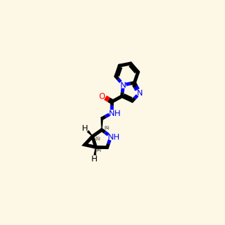 O=C(NC[C@H]1NC[C@@H]2C[C@@H]21)c1cnc2ccccn12